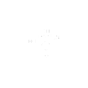 COc1ccc(S(=O)(=O)O)c(C#N)c1.Cl